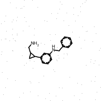 NCC1CC1c1cccc(NCc2ccccc2)c1